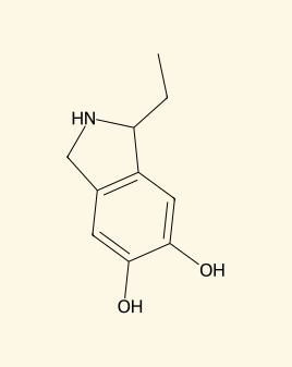 CCC1NCc2cc(O)c(O)cc21